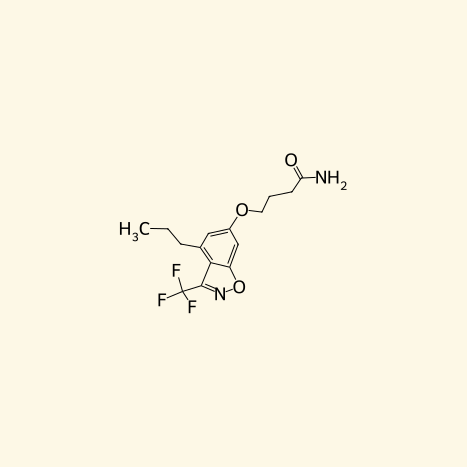 CCCc1cc(OCCCC(N)=O)cc2onc(C(F)(F)F)c12